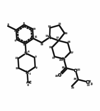 CC(=O)N1CCN(c2cc(C)ccc2CN2CCCC23CCN(C(=O)OC(C)C(F)(F)F)CC3)CC1